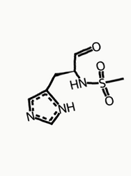 CS(=O)(=O)N[C@H](C=O)Cc1cnc[nH]1